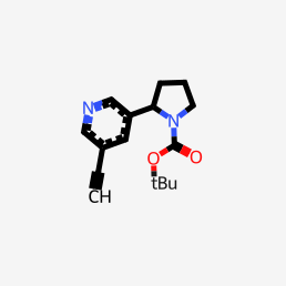 C#Cc1cncc(C2CCCN2C(=O)OC(C)(C)C)c1